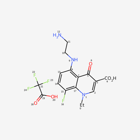 CCn1cc(C(=O)O)c(=O)c2c(NCCN)ccc(F)c21.O=C(O)C(F)(F)F